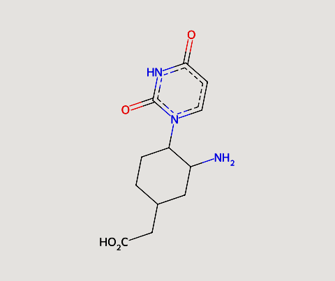 NC1CC(CC(=O)O)CCC1n1ccc(=O)[nH]c1=O